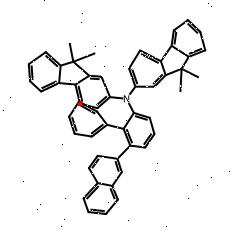 CC1(C)c2ccccc2-c2ccc(N(c3ccc4c(c3)C(C)(C)c3ccccc3-4)c3cccc(-c4ccc5ccccc5c4)c3-c3ccccc3)cc21